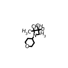 CC1(C)CN(C2CCOCC2)C1(C)C